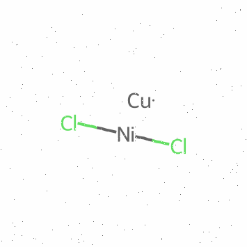 [Cl][Ni][Cl].[Cu]